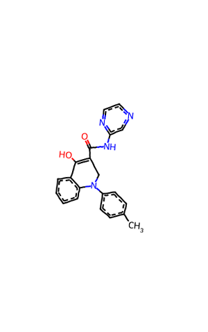 Cc1ccc(N2CC(C(=O)Nc3cnccn3)=C(O)c3ccccc32)cc1